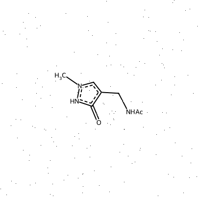 CC(=O)NCc1cn(C)[nH]c1=O